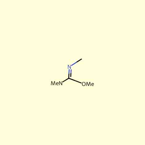 CN=C(NC)OC